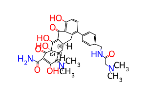 CN(C)CC(=O)NCc1ccc(-c2ccc(O)c3c2C[C@H]2C[C@H]4[C@H](N(C)C)C(O)=C(C(N)=O)C(=O)[C@@]4(O)C(O)=C2C3=O)cc1